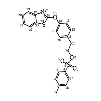 Cc1ccc(S(=O)(=O)OCCc2ccc(Oc3nc4ccccc4s3)cc2)cc1